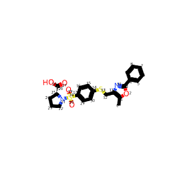 Cc1oc(-c2ccccc2)nc1CSc1ccc(S(=O)(=O)N2CCC[C@@H]2C(=O)O)cc1